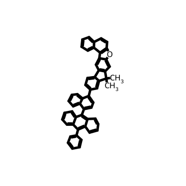 CC1(C)c2cc(-c3ccc(-c4c5ccccc5c(-c5ccccc5)c5ccccc45)c4ccccc34)ccc2-c2cc3c(cc21)oc1ccc2ccccc2c13